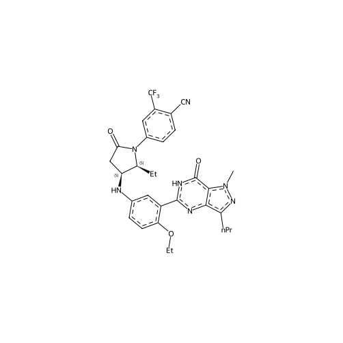 CCCc1nn(C)c2c(=O)[nH]c(-c3cc(N[C@H]4CC(=O)N(c5ccc(C#N)c(C(F)(F)F)c5)[C@H]4CC)ccc3OCC)nc12